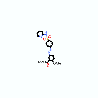 COC(=O)c1cc(N=Nc2ccc(S(=O)(=O)Nc3ccccn3)cc2)ccc1OC